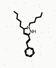 CCCCCC1C=C(C=Cc2ccccc2)NN1CCCCC